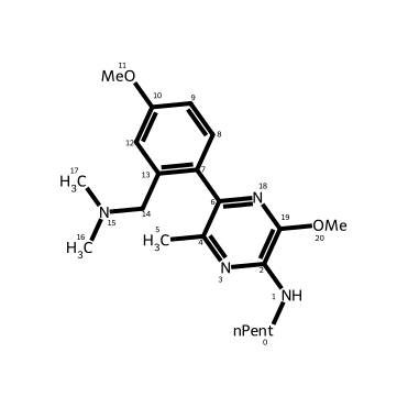 CCCCCNc1nc(C)c(-c2ccc(OC)cc2CN(C)C)nc1OC